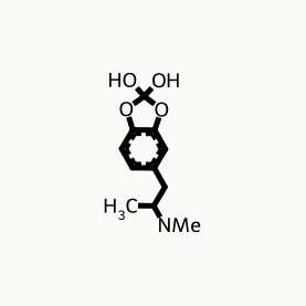 CNC(C)Cc1ccc2c(c1)OC(O)(O)O2